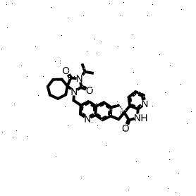 CC(C)N1C(=O)N(Cc2cnc3cc4c(cc3c2)C[C@@]2(C4)C(=O)Nc3ncccc32)C2(CCCCCC2)C1=O